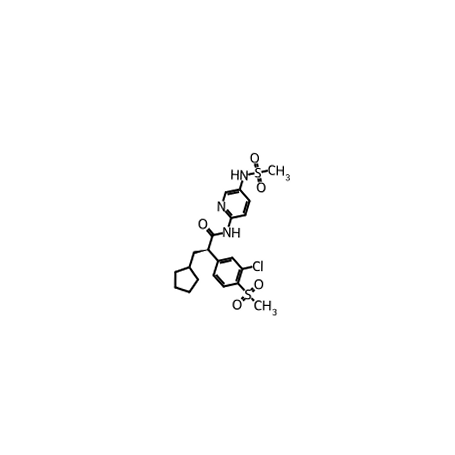 CS(=O)(=O)Nc1ccc(NC(=O)[C@H](CC2CCCC2)c2ccc(S(C)(=O)=O)c(Cl)c2)nc1